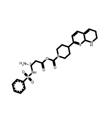 N[C@H](CC(=O)OC(=O)N1CCC(C2=NC3NCCC=C3C=C2)CC1)NS(=O)(=O)c1ccccc1